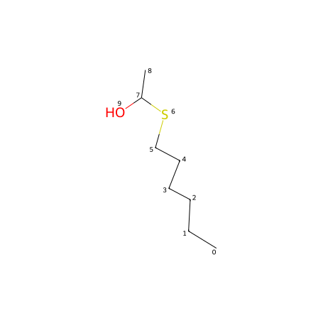 CCCCCCSC(C)O